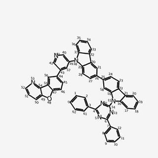 c1ccc(-c2nc(-c3ccccc3)nc(-n3c4ccccc4c4ccc(-c5ccc6c(c5)c5ccccc5n6-c5cncc(-c6ccc7oc8cccnc8c7c6)c5)cc43)n2)cc1